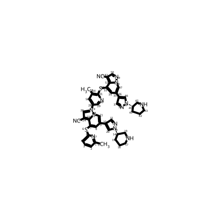 Cc1cccc(Sc2cc(-c3cnn([C@H]4CCCNC4)c3)cn3c2c(C#N)c[n+]3-c2cnc(Sc3cc(-c4cnn([C@H]5CCCNC5)c4)cn4ncc(C#N)c34)c(C)c2)n1